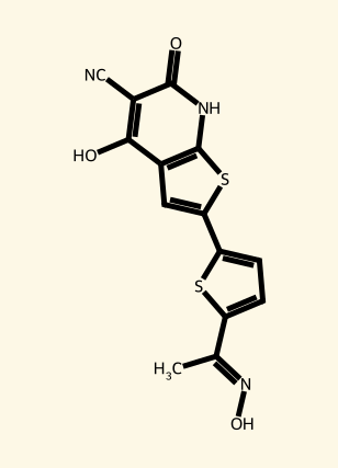 CC(=NO)c1ccc(-c2cc3c(O)c(C#N)c(=O)[nH]c3s2)s1